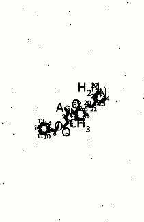 CC(=O)N(C[C@@H](C)C(=O)OCc1ccccc1)N1CCC[C@@H](CCc2ccnc(N)c2)C1=O